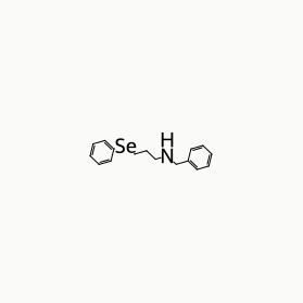 c1ccc(CNCCC[Se]c2ccccc2)cc1